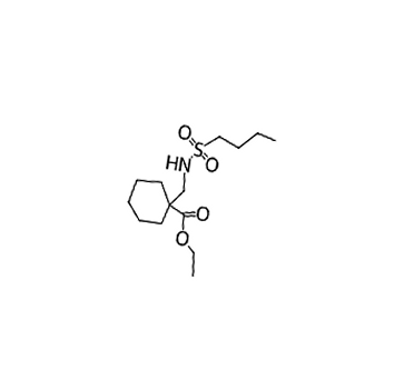 CCCCS(=O)(=O)NCC1(C(=O)OCC)CCCCC1